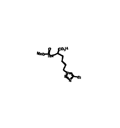 CCc1cn(CCCCC(NC(=O)OC)C(=O)O)nn1